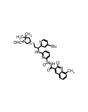 Cc1cccc2cc(C(=O)N[S+]([O-])c3cccc(NC(CC[C@@H]4CN(C=O)C(C)(C)C4)c4cc(C(C)(C)C)ccn4)n3)c(Cl)nc12